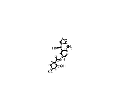 N=C(c1ccoc1)c1cc(NC(=O)c2ncc(Br)cc2O)ccc1N